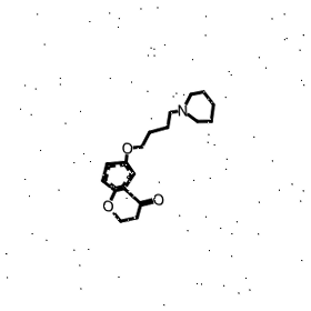 O=C1CCOc2ccc(OCCCCN3CCCCC3)cc21